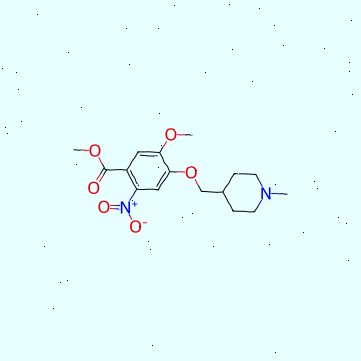 COC(=O)c1cc(OC)c(OCC2CCN(C)CC2)cc1[N+](=O)[O-]